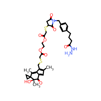 CC1=C(CSCC(=O)OCCOC(=O)CSC2CC(=O)N(Cc3ccc(CCCC(=O)NN)cc3)C2=O)C2=C(C)C3(CC3)[C@@](C)(O)C(=O)C2=C1